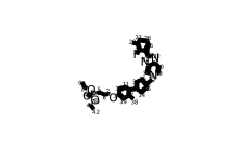 CCOP(=O)(CCCOc1ccc(-c2ccc(Cn3ccc4nc(-c5cccc(C)c5F)nc-4c3)cc2)c(C)c1)OCC